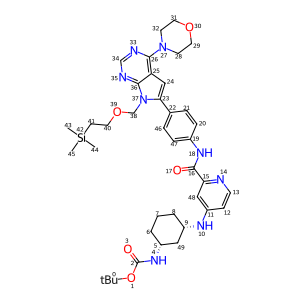 CC(C)(C)OC(=O)N[C@@H]1CCC[C@H](Nc2ccnc(C(=O)Nc3ccc(-c4cc5c(N6CCOCC6)ncnc5n4COCC[Si](C)(C)C)cc3)c2)C1